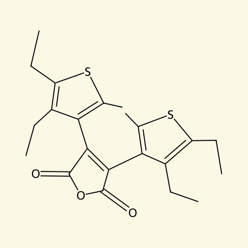 CCc1sc(C)c(C2=C(c3c(C)sc(CC)c3CC)C(=O)OC2=O)c1CC